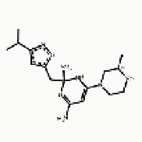 CC(C)c1cc(CC2(N)N=C(N)C=C(N3CCN[C@H](C)C3)N2)on1